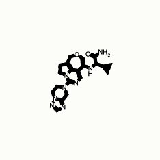 NC(=O)C(NC1=COCC2=C3C1=CN=C(N1CCn4ncnc4C1)N3CC2)C1CC1